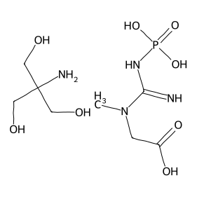 CN(CC(=O)O)C(=N)NP(=O)(O)O.NC(CO)(CO)CO